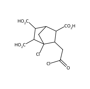 O=C(Cl)CC1C(C(=O)O)C2CC1(Cl)C(C(=O)O)C2C(=O)O